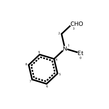 CCN(CC=O)c1ccccc1